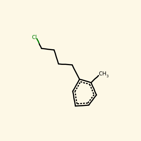 Cc1ccccc1CCCCCl